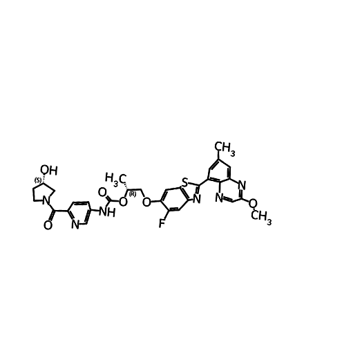 COc1cnc2c(-c3nc4cc(F)c(OC[C@@H](C)OC(=O)Nc5ccc(C(=O)N6CC[C@H](O)C6)nc5)cc4s3)cc(C)cc2n1